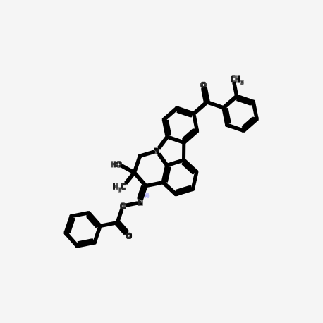 Cc1ccccc1C(=O)c1ccc2c(c1)c1cccc3c1n2CC(C)(O)/C3=N\OC(=O)c1ccccc1